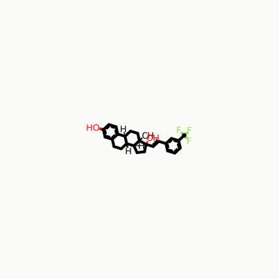 C[C@]12CC[C@@H]3c4ccc(O)cc4CC[C@H]3[C@@H]1CC[C@@]2(O)/C=C/c1cccc(C(F)(F)F)c1